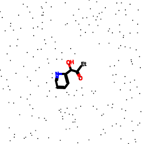 CCC(=O)C(O)c1ccccn1